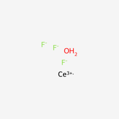 O.[Ce+3].[F-].[F-].[F-]